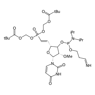 CO[C@H]1C(OP(OCCC=N)N(C(C)C)C(C)C)[C@@H](/C=C/P(=O)(OCOC(=O)C(C)(C)C)OCOC(=O)C(C)(C)C)O[C@H]1n1ccc(=O)[nH]c1=O